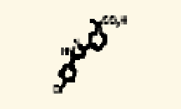 CC(C(=O)O)N1CCC=C(c2cc(-c3ccc(Br)cc3)[nH]n2)C1